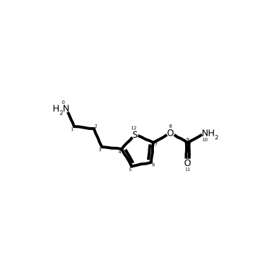 NCCCc1ccc(OC(N)=O)s1